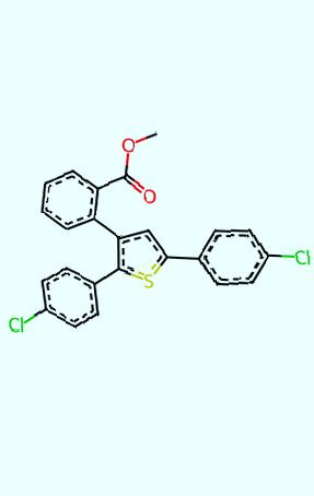 COC(=O)c1ccccc1-c1cc(-c2ccc(Cl)cc2)sc1-c1ccc(Cl)cc1